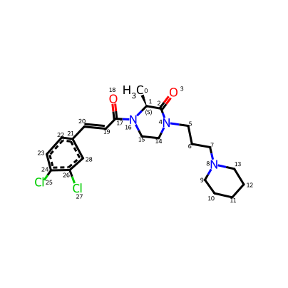 C[C@H]1C(=O)N(CCCN2CCCCC2)CCN1C(=O)C=Cc1ccc(Cl)c(Cl)c1